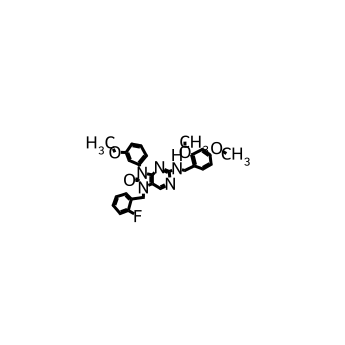 COc1cccc(-n2c(=O)n(Cc3ccccc3F)c3cnc(NCc4ccc(OC)cc4OC)nc32)c1